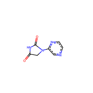 O=C1CN(c2cnccn2)C(=O)N1